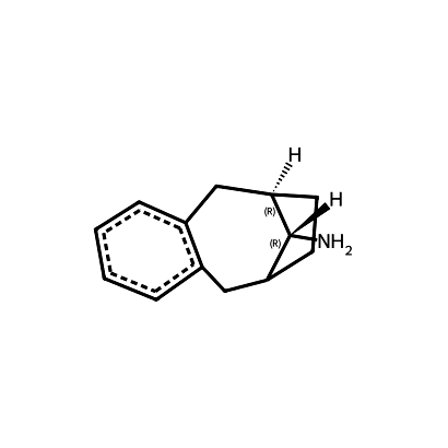 N[C@@H]1C2CC[C@@H]1Cc1ccccc1C2